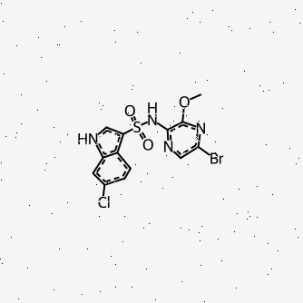 COc1nc(Br)cnc1NS(=O)(=O)c1c[nH]c2cc(Cl)ccc12